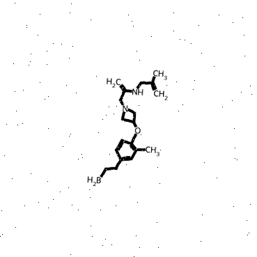 BCCc1ccc(OC2CN(CC(=C)NCC(=C)C)C2)c(C)c1